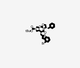 CC(C)(C)OC(=O)N1CC[C@H]([C@H](Cc2cc3c(Br)cccc3s2)C(=O)N2C(=O)OC[C@@H]2Cc2ccccc2)C1